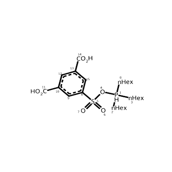 CCCCCC[PH](CCCCCC)(CCCCCC)OS(=O)(=O)c1cc(C(=O)O)cc(C(=O)O)c1